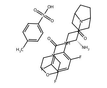 Cc1ccc(S(=O)(=O)O)cc1.N[C@H](Cc1cc(F)c(F)cc1F)C1CC2CCC(C1)N2C(=O)CNC(=O)N1CCOCC1